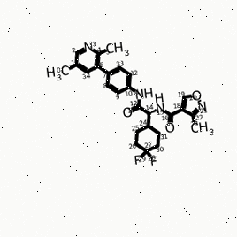 Cc1cnc(C)c(-c2ccc(NC(=O)[C@@H](NC(=O)c3conc3C)C3CCC(F)(F)CC3)cc2)c1